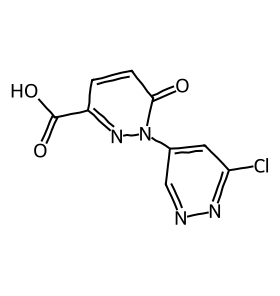 O=C(O)c1ccc(=O)n(-c2cnnc(Cl)c2)n1